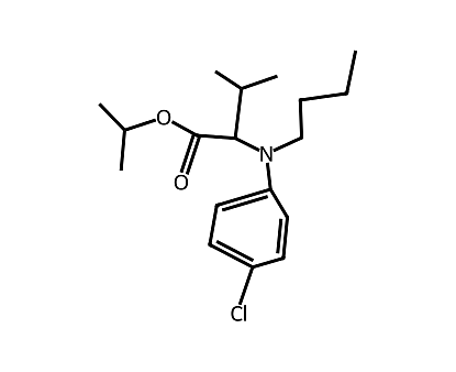 CCCCN(c1ccc(Cl)cc1)C(C(=O)OC(C)C)C(C)C